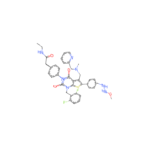 CCNC(=O)Cc1ccc(-n2c(=O)c3c(CN(C)Cc4ccccn4)c(-c4ccc(NNOC)cc4)sc3n(Cc3c(F)cccc3F)c2=O)cc1